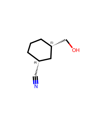 N#C[C@@H]1CCC[C@H](CO)C1